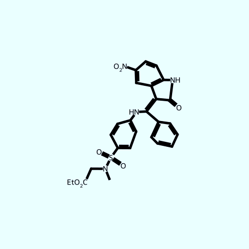 CCOC(=O)CN(C)S(=O)(=O)c1ccc(NC(=C2C(=O)Nc3ccc([N+](=O)[O-])cc32)c2ccccc2)cc1